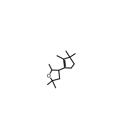 CC1=C(C2CC(C)(C)OC2C)CCC1(C)C